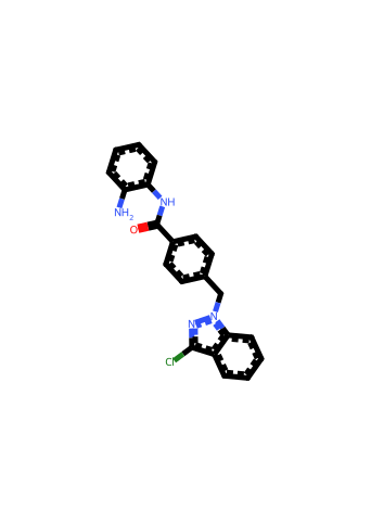 Nc1ccccc1NC(=O)c1ccc(Cn2nc(Cl)c3ccccc32)cc1